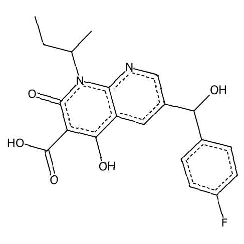 CCC(C)n1c(=O)c(C(=O)O)c(O)c2cc(C(O)c3ccc(F)cc3)cnc21